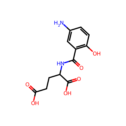 Nc1ccc(O)c(C(=O)NC(CCC(=O)O)C(=O)O)c1